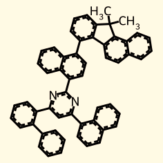 CC1(C)c2cccc(-c3ccc(-c4nc(-c5ccccc5-c5ccccc5)cc(-c5cccc6ccccc56)n4)c4ccccc34)c2-c2ccc3ccccc3c21